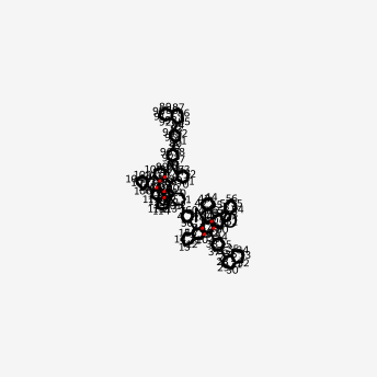 C1=CC(c2ccc(-c3cccc4ccccc34)c(N(c3ccc(-c4ccc(-c5cccc6ccccc56)cc4)cc3)c3ccccc3-c3cccc4oc5ccccc5c34)c2)Cc2oc3cccc(-c4ccccc4N(c4ccc(-c5ccc(-c6cccc7ccccc67)cc5)cc4)c4ccc(-c5ccccc5-c5ccc6ccccc6c5)cc4)c3c21